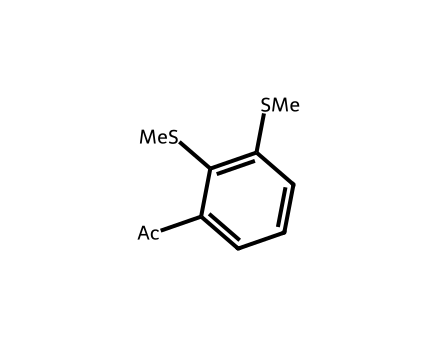 CSc1cccc(C(C)=O)c1SC